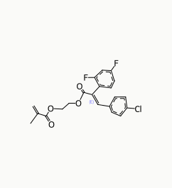 C=C(C)C(=O)OCCOC(=O)/C(=C/c1ccc(Cl)cc1)c1ccc(F)cc1F